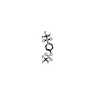 O=S(=O)(OC1=CCN(S(=O)(=O)C(F)(F)F)CC1)C(F)(F)F